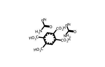 CCCC(N)=O.CCCC(N)=O.O=C(O)c1cc(C(=O)O)c(C(=O)O)cc1C(=O)O